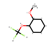 CO[C]1CCCCC1OC(F)(F)F